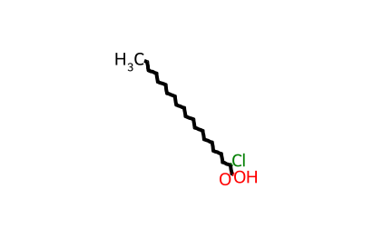 CCCCCCCCCCCCCCCCCCCC(Cl)C(=O)O